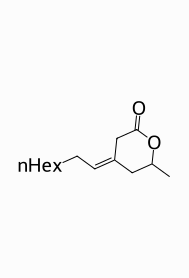 CCCCCCC/C=C1\CC(=O)OC(C)C1